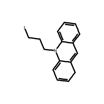 ICCCN1C2=CC=CCC2=Cc2ccccc21